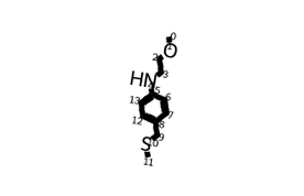 COCCNc1ccc(CSC)cc1